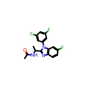 CC(=O)NC(C)c1nc2ccc(F)cc2n1-c1cc(F)cc(F)c1